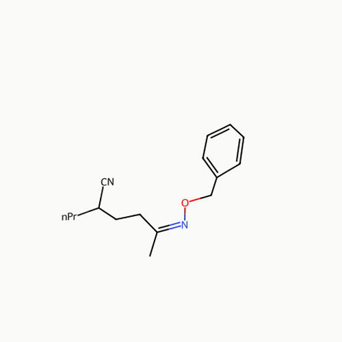 CCCC(C#N)CCC(C)=NOCc1ccccc1